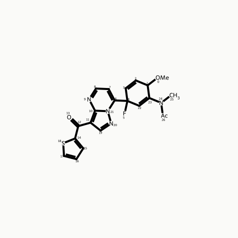 COC1C=CC(F)(c2ccnc3c(C(=O)c4cccs4)cnn23)C=C1N(C)C(C)=O